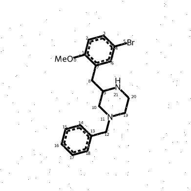 COc1ccc(Br)cc1CC1CN(Cc2ccccc2)CCN1